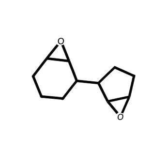 C1CC2OC2C(C2CCC3OC32)C1